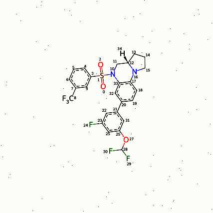 O=S(=O)(c1cccc(C(F)(F)F)c1)N1C[C@@H]2CCCN2c2ccc(-c3cc(F)cc(OC(F)F)c3)cc21